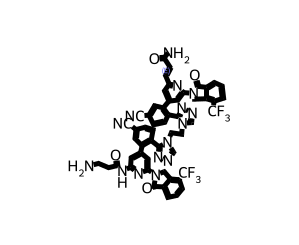 N#Cc1ccc(-c2nncn2CCn2cnnc2-c2ccc(C#N)cc2-c2cc(NC(=O)CCN)nc(N3Cc4c(cccc4C(F)(F)F)C3=O)c2)c(-c2cc(/C=C/C(N)=O)nc(N3Cc4c(cccc4C(F)(F)F)C3=O)c2)c1